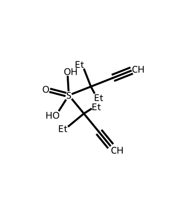 C#CC(CC)(CC)S(=O)(O)(O)C(C#C)(CC)CC